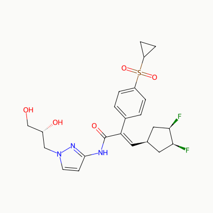 O=C(Nc1ccn(C[C@@H](O)CO)n1)/C(=C/[C@H]1C[C@@H](F)[C@@H](F)C1)c1ccc(S(=O)(=O)C2CC2)cc1